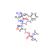 CN(C(=O)OCCc1conc1C(CCCc1ccccc1)NC(=O)C(C)(C)N)C1CC1